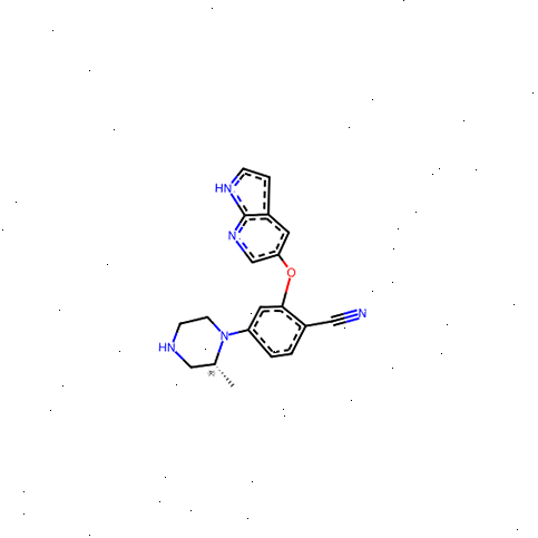 C[C@@H]1CNCCN1c1ccc(C#N)c(Oc2cnc3[nH]ccc3c2)c1